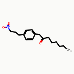 CCCCCCC(=O)Cc1ccc(CCC[N+](=O)[O-])cc1